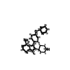 Cn1c(C2CCNCC2)c(-c2ccc(Oc3ncccn3)cc2)c2c(N)ncnc21